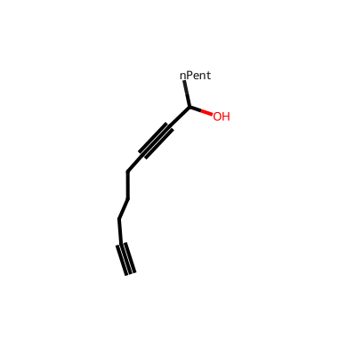 C#CCCCC#CC(O)CCCCC